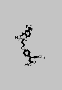 CC#CC(CC(=O)O)c1ccc(OCC[C@@H](C)Oc2ccc(C(F)(F)F)cc2Cl)cc1